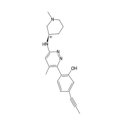 CC#Cc1ccc(-c2nnc(N[C@@H]3CCCN(C)C3)cc2C)c(O)c1